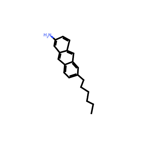 CCCCCCc1ccc2cc3cc(N)ccc3cc2c1